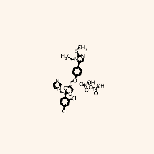 CCn1c(-c2ccc(OC[C@@H]3CO[C@@](Cn4ccnc4)(c4ccc(Cl)cc4Cl)O3)cc2)cnc1SC.O=[N+]([O-])O.O=[N+]([O-])O